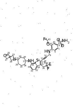 NS(=O)(=O)c1ccc(NCC#Cc2sc3c(NC4CCCC(N5CC6(COC6)C5)CC4)cccc3c2CC(F)(F)F)c(OCF)c1